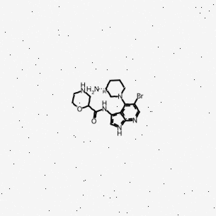 N[C@@H]1CCCN(c2c(Br)cnc3[nH]cc(NC(=O)C4CNCCO4)c23)C1